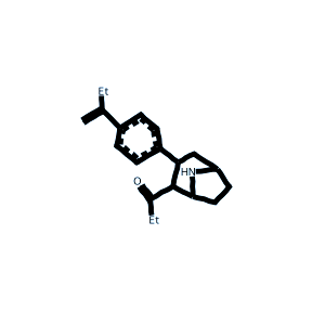 C=C(CC)c1ccc(C2CC3CCC(N3)C2C(=O)CC)cc1